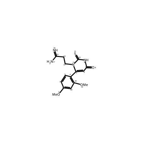 COc1ccc(-c2cc(=O)[nH]c(=S)n2CCC(=N)N)c(OC)c1